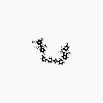 CC(C)(c1ccc(OCc2ccnc(N3CCN(C4CN(C5CCCN(c6ccc7c(c6)C(O)N(C6CCC(=O)NC6=O)C7=O)C5)C4)CC3)n2)cc1)c1cc(Cl)cc(C#N)c1